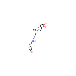 CCCN(CCCCCCNCCOc1ccc(O)cc1)C1CCc2c(ccc(O)c2O)C1